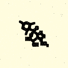 Cc1cc(C)c(S(=O)(=O)c2nnn([N+](=O)[O-])c2C(O)O)c(C)c1